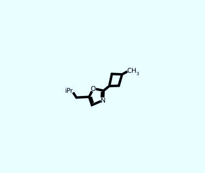 CC(C)Cc1cnc(C2CC(C)C2)o1